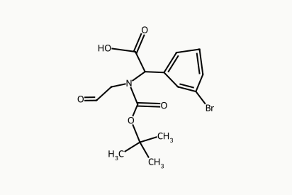 CC(C)(C)OC(=O)N(CC=O)C(C(=O)O)c1cccc(Br)c1